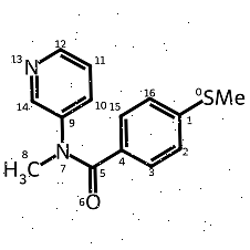 CSc1ccc(C(=O)N(C)c2cccnc2)cc1